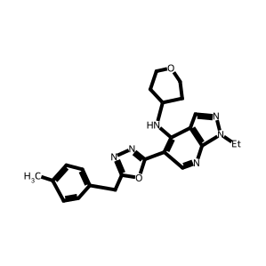 CCn1ncc2c(NC3CCOCC3)c(-c3nnc(Cc4ccc(C)cc4)o3)cnc21